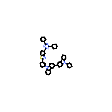 c1ccc(-c2nc(-c3ccccc3)nc(-c3ccc4sc(-c5cccc(-n6c7ccccc7c7cc(-c8ccc9c(c8)c8ccccc8n9-c8ccccc8)ccc76)c5)nc4c3)n2)cc1